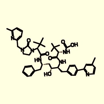 Cc1ccnc(-c2ccc(C[C@H](NC(=O)[C@@H](NC(=O)O)C(C)(C)C)[C@H](O)C[C@H](Cc3ccccc3)NC(=O)[C@@H](N3CCN(Cc4cccc(C)n4)C3=O)C(C)(C)C)cc2)c1